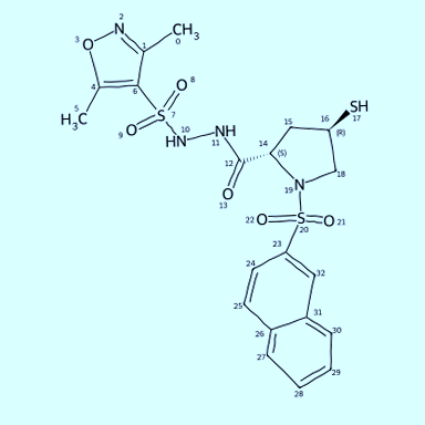 Cc1noc(C)c1S(=O)(=O)NNC(=O)[C@@H]1C[C@@H](S)CN1S(=O)(=O)c1ccc2ccccc2c1